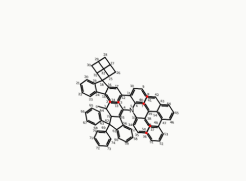 CC1C=CC(N(c2ccccc2-c2ccc3c(c2)C2(c4ccccc4-3)C3CC4CC5CC2C453)c2ccccc2-c2cccc3cccc(-c4ccccc4)c23)=C2c3ccccc3C(c3ccccc3)(c3ccccc3)C21